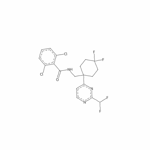 O=C(NCC1(c2ccnc(C(F)F)n2)CCC(F)(F)CC1)c1c(Cl)cccc1Cl